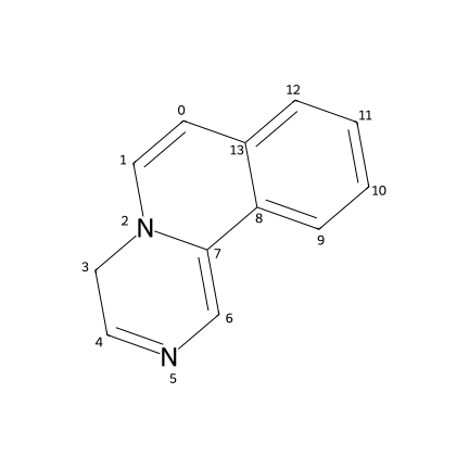 C1=CN2CC=NC=C2c2ccccc21